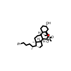 CC(C)CCC[C@@H](C)[C@H]1CC[C@H]2[C@@H]3CC=C4C[C@@H](O)CC[C@]4(COS(C)(=O)=O)[C@H]3CC[C@]12C